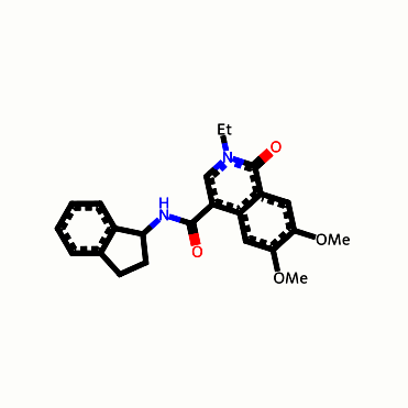 CCn1cc(C(=O)NC2CCc3ccccc32)c2cc(OC)c(OC)cc2c1=O